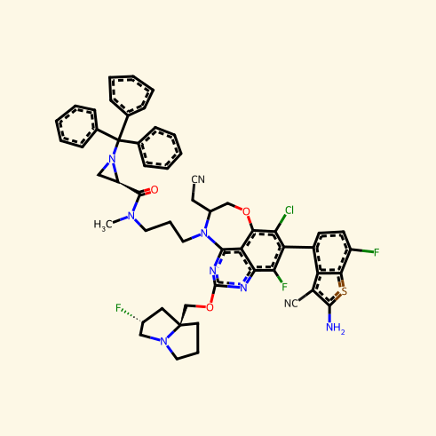 CN(CCCN1c2nc(OC[C@@]34CCCN3C[C@H](F)C4)nc3c(F)c(-c4ccc(F)c5sc(N)c(C#N)c45)c(Cl)c(c23)OCC1CC#N)C(=O)[C@H]1CN1C(c1ccccc1)(c1ccccc1)c1ccccc1